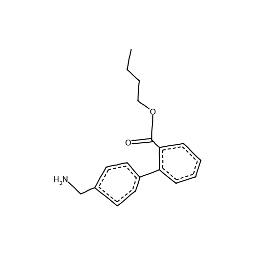 CCCCOC(=O)c1ccccc1-c1ccc(CN)cc1